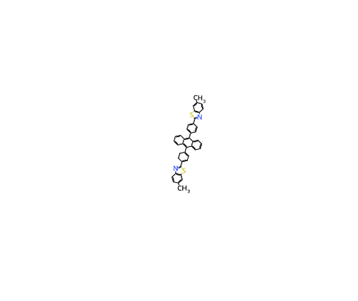 Cc1ccc2nc(C3=CC=C(c4c5ccccc5c(-c5ccc(-c6nc7ccc(C)cc7s6)cc5)c5ccccc45)CC3)sc2c1